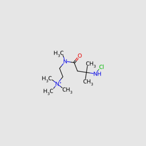 CN(CC[N+](C)(C)C)C(=O)CC(C)(C)NCl